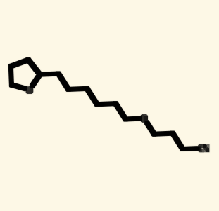 N#CCCCOCCCCCCC1CCCO1